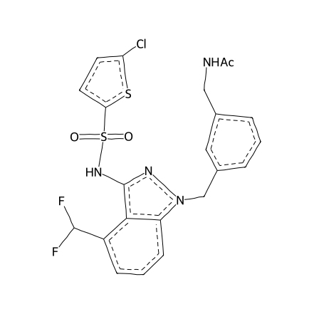 CC(=O)NCc1cccc(Cn2nc(NS(=O)(=O)c3ccc(Cl)s3)c3c(C(F)F)cccc32)c1